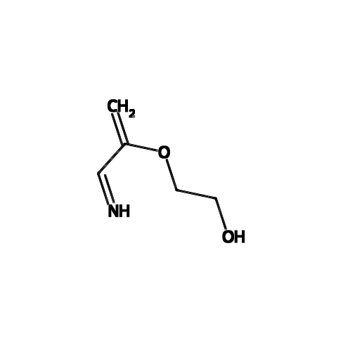 C=C(C=N)OCCO